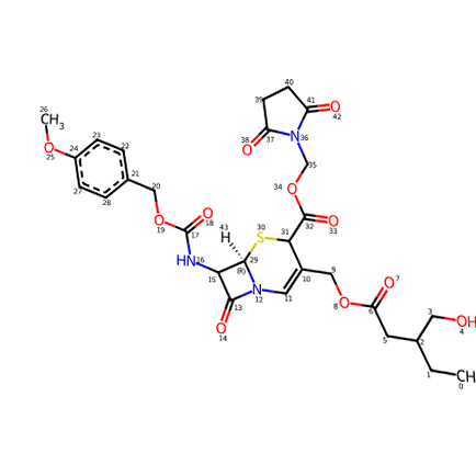 CCC(CO)CC(=O)OCC1=CN2C(=O)C(NC(=O)OCc3ccc(OC)cc3)[C@H]2SC1C(=O)OCN1C(=O)CCC1=O